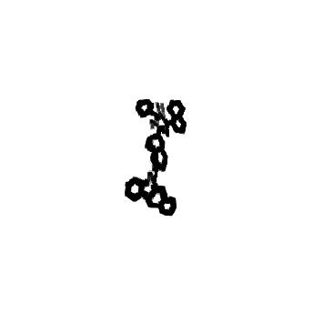 c1ccc(C2=NC(c3ccc4cc(-n5c6ccccc6c6cc7ccccc7cc65)ccc4c3)=NC(c3cccc4ccccc34)N2)cc1